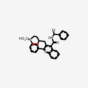 CCC(NC(=O)c1c(CC2CCN(C(=O)O)CC2)c(-c2ccccc2)nc2ccccc12)c1ccccc1